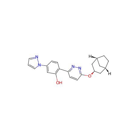 Oc1cc(-n2cccn2)ccc1-c1ccc(O[C@H]2C[C@@H]3CC[C@@H](C3)C2)nn1